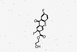 O=C(OCCO)c1cc2sc3ccc(F)cc3c(=O)c2cc1F